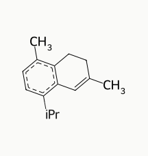 CC1=Cc2c(C(C)C)ccc(C)c2CC1